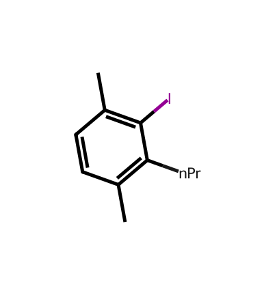 CCCc1c(C)ccc(C)c1I